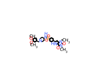 CCn1c(=O)c2[nH]c(-c3ccc(S(=O)(=O)NC4CCN(Cc5ccc(OC)c(OC)c5)CC4)cc3)cc2n(CC)c1=O